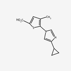 Cc1cc(C(=O)O)sc1-n1cnc(C2CC2)c1